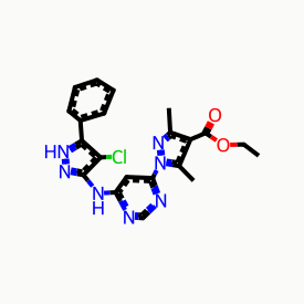 CCOC(=O)c1c(C)nn(-c2cc(Nc3n[nH]c(-c4ccccc4)c3Cl)ncn2)c1C